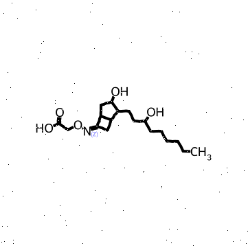 CCCCCCC(O)CCC1C(O)CC2/C(=N\OCC(=O)O)CC21